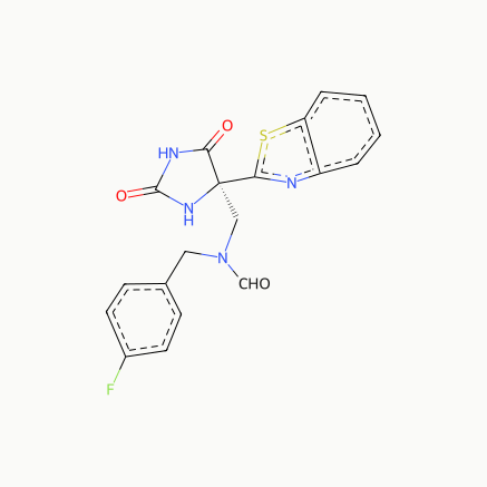 O=CN(Cc1ccc(F)cc1)C[C@]1(c2nc3ccccc3s2)NC(=O)NC1=O